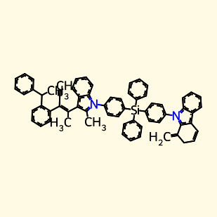 C#C/C(=C(/C)c1c(C)n(-c2ccc([Si](c3ccccc3)(c3ccccc3)c3ccc(-n4c5c(c6ccccc64)C=CCC5=C)cc3)cc2)c2ccccc12)c1ccccc1C(C)c1ccccc1